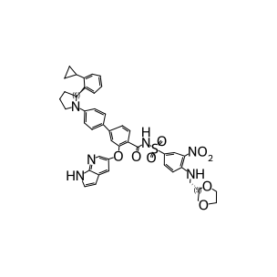 O=C(NS(=O)(=O)c1ccc(NC[C@H]2COCCO2)c([N+](=O)[O-])c1)c1ccc(-c2ccc(N3CCC[C@H]3c3ccccc3C3CC3)cc2)cc1Oc1cnc2[nH]ccc2c1